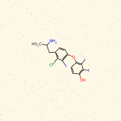 NC(Cc1ccc(Oc2ccc(O)c(I)c2I)c(I)c1Cl)C(=O)O